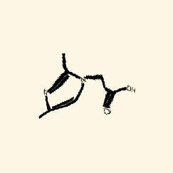 Cc1cn(CC(=O)O)c(C)n1